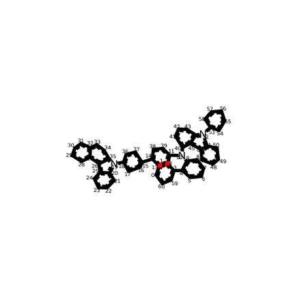 c1ccc(-c2ccccc2N(c2ccc(-c3ccc(-n4c5ccccc5c5c6ccccc6ccc54)cc3)cc2)c2cccc3c2c2ccccc2n3-c2ccccc2)cc1